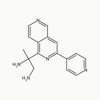 CC(N)(CN)c1nc(-c2ccncc2)cc2cnccc12